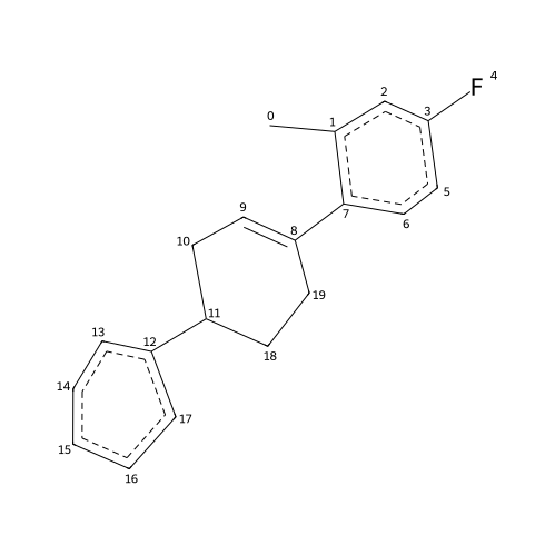 Cc1cc(F)ccc1C1=CCC(c2ccccc2)CC1